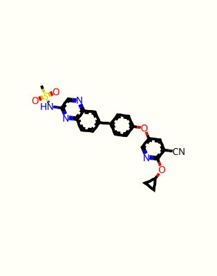 CS(=O)(=O)Nc1cnc2cc(-c3ccc(Oc4cnc(OC5CC5)c(C#N)c4)cc3)ccc2n1